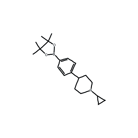 CC1(C)OB(c2ccc(C3CCN(C4CC4)CC3)cc2)OC1(C)C